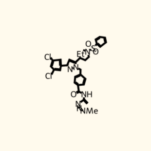 C=C(/N=N\NC)NC(=O)c1ccc(Cn2nc(-c3cc(Cl)cc(Cl)c3)cc2C(CC)CCN(C)S(=O)(=O)c2ccccc2)cc1